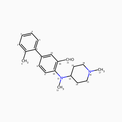 Cc1ccccc1-c1ccc(N(C)C2CCN(C)CC2)c(C=O)c1